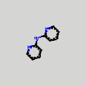 [c]1ccnc(Nc2ccccn2)c1